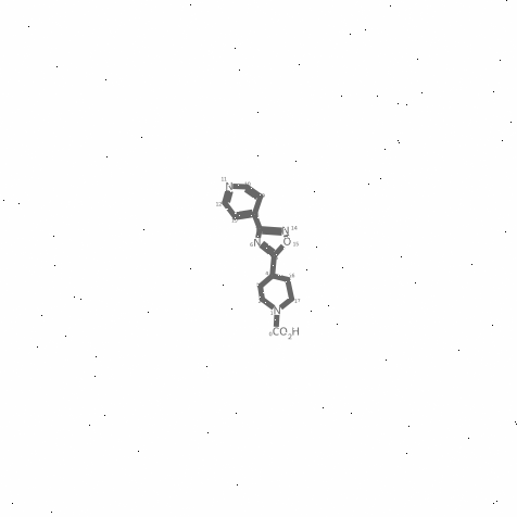 O=C(O)N1CCC(c2nc(-c3ccncc3)no2)CC1